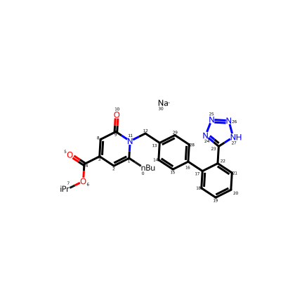 CCCCc1cc(C(=O)OC(C)C)cc(=O)n1Cc1ccc(-c2ccccc2-c2nnn[nH]2)cc1.[Na]